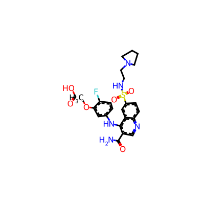 COc1cc(Nc2c(C(N)=O)cnc3ccc(S(=O)(=O)NCCN4CCCC4)cc23)ccc1F.O=CO